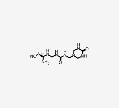 N#C/N=C(\N)NCNC(=O)NCN1CNC(=O)NC1